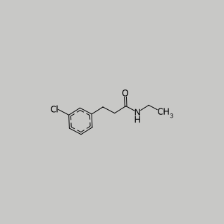 CCNC(=O)CCc1cccc(Cl)c1